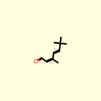 CC(=C/C=O)/C=C/C(C)(C)C